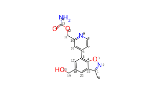 Cc1noc2c(-c3ccnc(COC(N)=O)c3)cc(CO)cc12